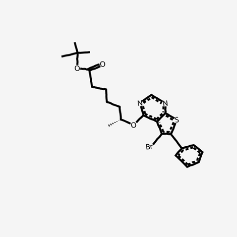 C[C@H](CCCCC(=O)OC(C)(C)C)Oc1ncnc2sc(-c3ccccc3)c(Br)c12